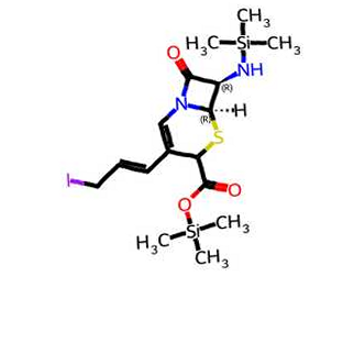 C[Si](C)(C)N[C@@H]1C(=O)N2C=C(C=CCI)C(C(=O)O[Si](C)(C)C)S[C@H]12